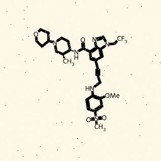 COc1cc(S(C)(=O)=O)ccc1NCC#Cc1cc(C(=O)N[C@H]2CCN(C3CCOCC3)C[C@@H]2C)c2ncn(CC(F)(F)F)c2c1